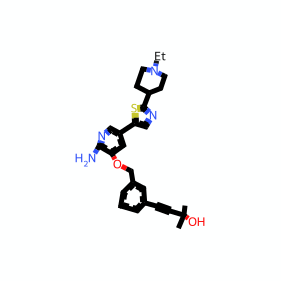 CCN1CCC(c2ncc(-c3cnc(N)c(OCc4cccc(C#CC(C)(C)O)c4)c3)s2)CC1